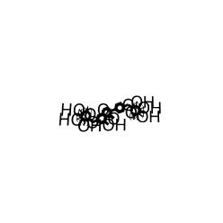 C[C@H]1OC(Oc2ccc(-c3coc4cc(OC5O[C@H](C)[C@H](O)[C@H](O)[C@@H]5O)cc(O)c4c3=O)cc2)[C@@H](O)[C@@H](O)[C@H]1O